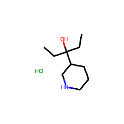 CCC(O)(CC)C1CCCNC1.Cl